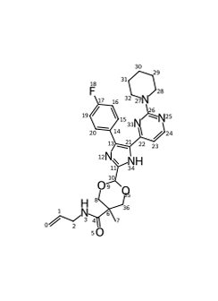 C=CCNC(=O)C1(C)COC(c2nc(-c3ccc(F)cc3)c(-c3ccnc(N4CCCCC4)n3)[nH]2)OC1